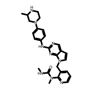 CNC(=O)N(C)c1ncccc1Cn1ccc2cnc(Nc3ccc(N4CCNC(C)C4)cc3)nc21